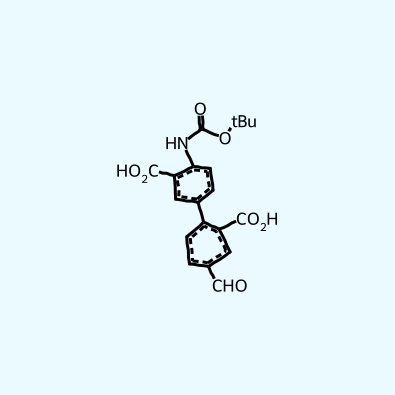 CC(C)(C)OC(=O)Nc1ccc(-c2ccc(C=O)cc2C(=O)O)cc1C(=O)O